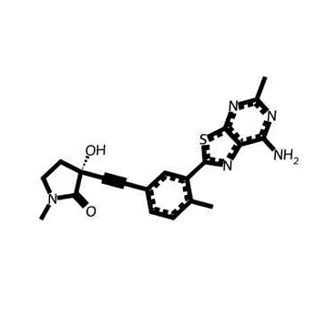 Cc1nc(N)c2nc(-c3cc(C#C[C@]4(O)CCN(C)C4=O)ccc3C)sc2n1